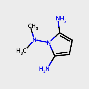 CN(C)n1c(N)ccc1N